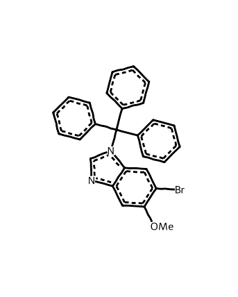 COc1cc2ncn(C(c3ccccc3)(c3ccccc3)c3ccccc3)c2cc1Br